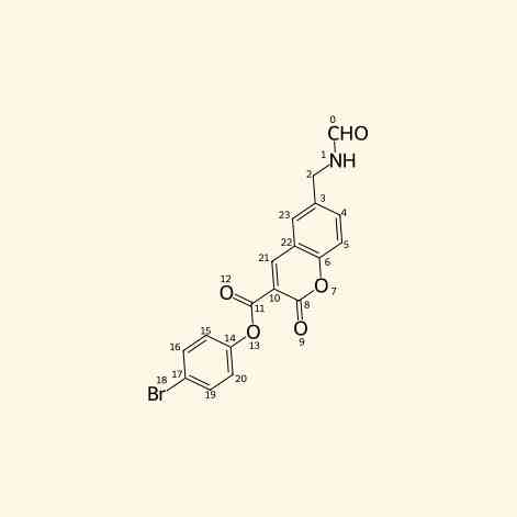 O=CNCc1ccc2oc(=O)c(C(=O)Oc3ccc(Br)cc3)cc2c1